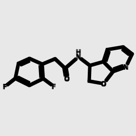 O=C(Cc1ccc(F)cc1F)NC1COc2ncccc21